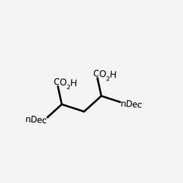 CCCCCCCCCCC(CC(CCCCCCCCCC)C(=O)O)C(=O)O